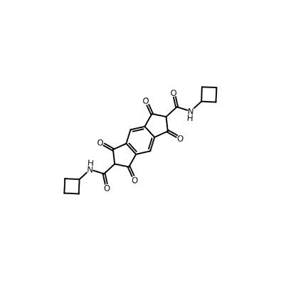 O=C(NC1CCC1)C1C(=O)c2cc3c(cc2C1=O)C(=O)C(C(=O)NC1CCC1)C3=O